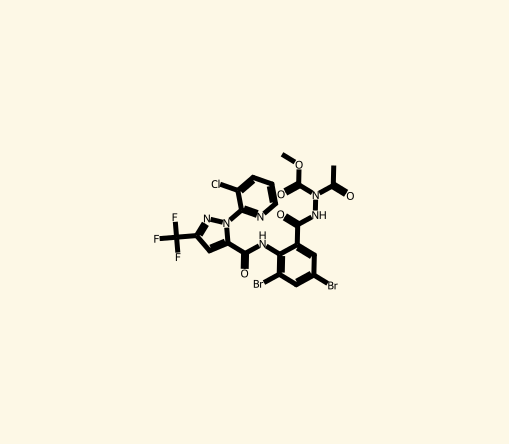 COC(=O)N(NC(=O)c1cc(Br)cc(Br)c1NC(=O)c1cc(C(F)(F)F)nn1-c1ncccc1Cl)C(C)=O